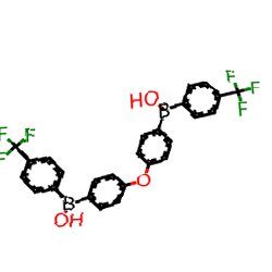 OB(c1ccc(Oc2ccc(B(O)c3ccc(C(F)(F)F)cc3)cc2)cc1)c1ccc(C(F)(F)F)cc1